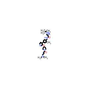 Cc1cc(-c2ccncc2OC2CCN(C(=O)/C=C/CN(C)C)CC2)ccc1CNC(=O)c1cn(C(C)(C)C)nn1